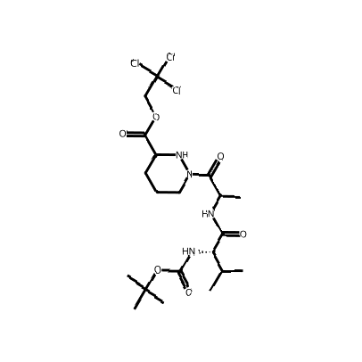 CC(NC(=O)[C@@H](NC(=O)OC(C)(C)C)C(C)C)C(=O)N1CCCC(C(=O)OCC(Cl)(Cl)Cl)N1